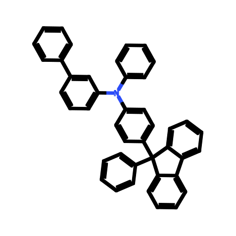 c1ccc(-c2cccc(N(c3ccccc3)c3ccc(C4(c5ccccc5)c5ccccc5-c5ccccc54)cc3)c2)cc1